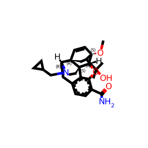 CO[C@@]12C=C[C@@]3(CC1C(C)(C)O)[C@H]1Cc4ccc(C(N)=O)c5c4[C@@]3(CCN1CC1CC1)[C@H]2O5